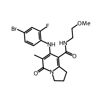 COCCNC(=O)c1c(Nc2ccc(Br)cc2F)c(C)c(=O)n2c1CCC2